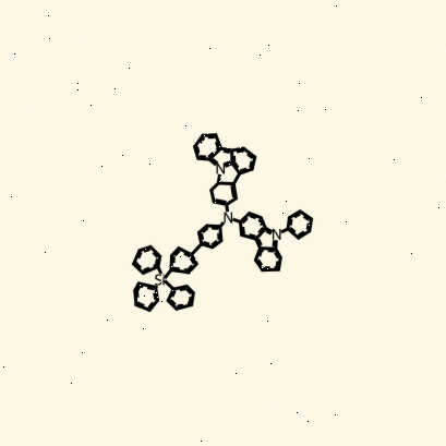 C1=C2c3cccc4c5ccccc5n(c34)C2CC=C1N(c1ccc(-c2ccc([Si](c3ccccc3)(c3ccccc3)c3ccccc3)cc2)cc1)c1ccc2c(c1)c1ccccc1n2-c1ccccc1